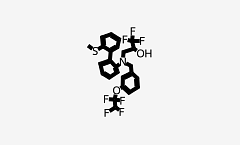 CSc1ccccc1-c1ccccc1N(Cc1cccc(OC(F)(F)C(F)F)c1)CC(O)C(F)(F)F